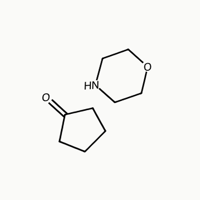 C1COCCN1.O=C1CCCC1